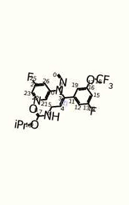 C=NN(/C(=C\CNC(=O)OC(C)C)c1cc(F)cc(OC(F)(F)F)c1)c1cncc(F)c1